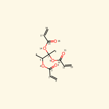 C=CC(=O)OC(C)C(C)(OC(=O)C=C)OC(=O)C=C